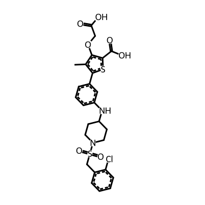 Cc1c(-c2cccc(NC3CCN(S(=O)(=O)Cc4ccccc4Cl)CC3)c2)sc(C(=O)O)c1OCC(=O)O